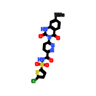 CNc1ccc2c(=O)n(-c3ccc(C(=O)NS(=O)(=O)c4ccc(Cl)s4)nn3)c(=O)[nH]c2c1